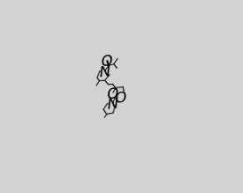 CCC(CCC1CN(C(=O)C(C)C)CCC1C)OC(=O)N1CCC(C)CC1